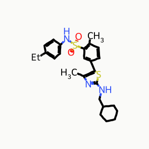 CCc1ccc(NS(=O)(=O)c2cc(-c3sc(NCC4CCCCC4)nc3C)ccc2C)cc1